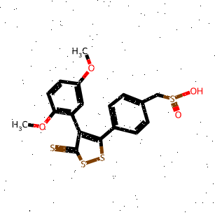 COc1ccc(OC)c(-c2c(-c3ccc(CS(=O)O)cc3)ssc2=S)c1